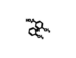 C=C1C=CC=CN1.Cc1ccc(S(=O)(=O)O)cc1